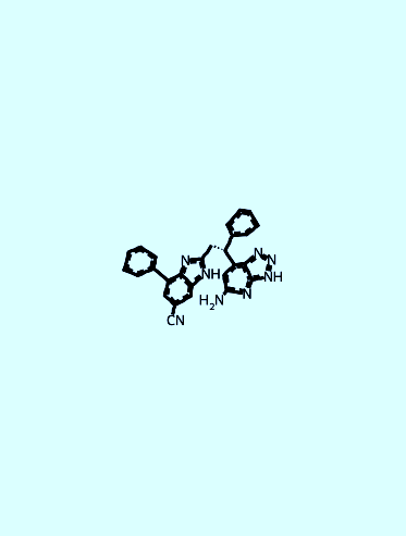 N#Cc1cc(-c2ccccc2)c2nc(C[C@H](c3ccccc3)c3cc(N)nc4[nH]nnc34)[nH]c2c1